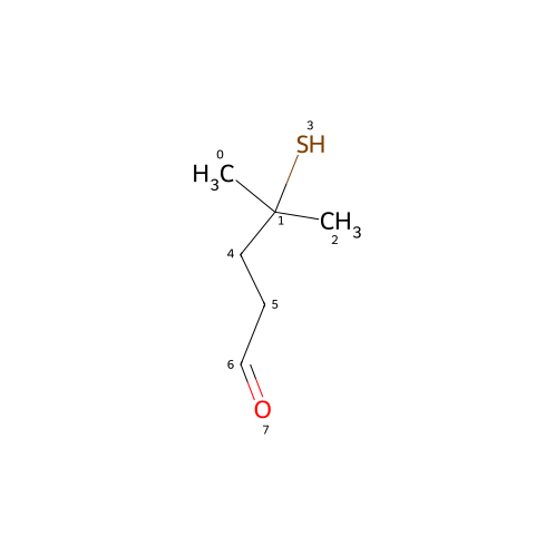 CC(C)(S)CCC=O